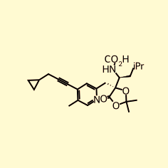 Cc1cnc(C[C@]2([C@H](CC(C)C)NC(=O)O)OC(C)(C)OC2=O)cc1C#CCC1CC1